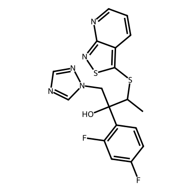 CC(Sc1snc2ncccc12)C(O)(Cn1cncn1)c1ccc(F)cc1F